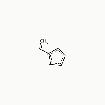 C=Cn1[c]ccc1